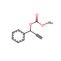 C#CC(OC(=O)OC(C)(C)C)c1ccccc1